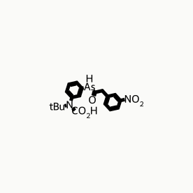 CC(C)(C)N(C(=O)O)c1cccc([AsH]C(=O)Cc2cccc([N+](=O)[O-])c2)c1